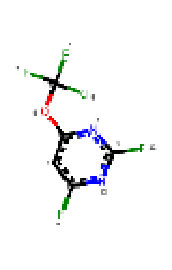 Fc1cc(OC(F)(F)Cl)nc(F)n1